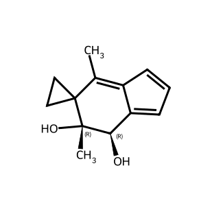 CC1=C2C=CC=C2[C@@H](O)[C@](C)(O)C12CC2